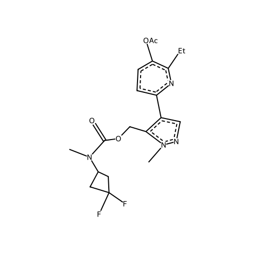 CCc1nc(-c2cnn(C)c2COC(=O)N(C)C2CC(F)(F)C2)ccc1OC(C)=O